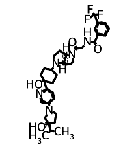 CC(C)[C@]1(O)CCN(c2ccc(C3(O)CCC(N4CC[C@H]5[C@@H]4CCN5C(=O)CNC(=O)c4cccc(C(F)(F)F)c4)CC3)nc2)C1